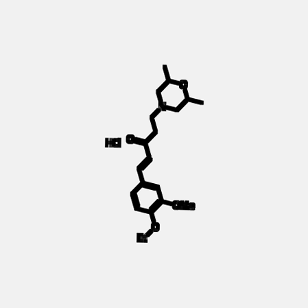 CCOc1ccc(C=CC(=O)CCN2CC(C)OC(C)C2)cc1OC.Cl